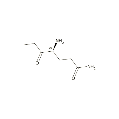 CCC(=O)[C@@H](N)CCC(N)=O